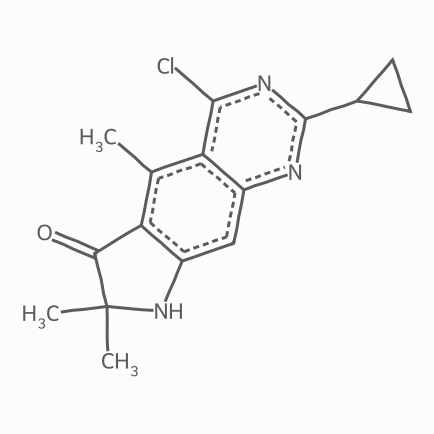 Cc1c2c(cc3nc(C4CC4)nc(Cl)c13)NC(C)(C)C2=O